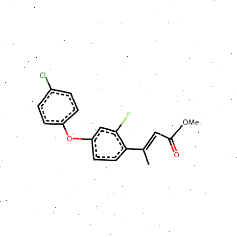 COC(=O)C=C(C)c1ccc(Oc2ccc(Cl)cc2)cc1F